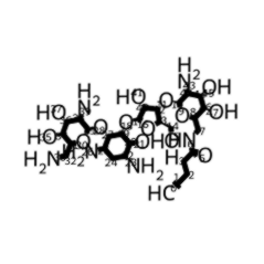 C#CCCC(=O)NCC1O[C@H](OC2[C@@H](CO)O[C@@H](O[C@@H]3C(O)[C@H](N)CC(N)[C@H]3O[C@H]3OC(CN)[C@@H](O)[C@H](O)C3N)[C@H]2O)C(N)[C@H](O)[C@@H]1O